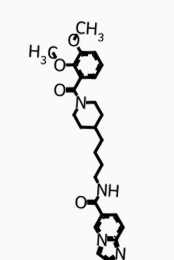 COc1cccc(C(=O)N2CCC(CCCCNC(=O)c3ccc4nccn4c3)CC2)c1OC